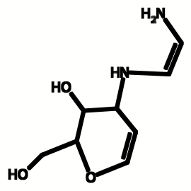 N/C=C\NC1C=COC(CO)C1O